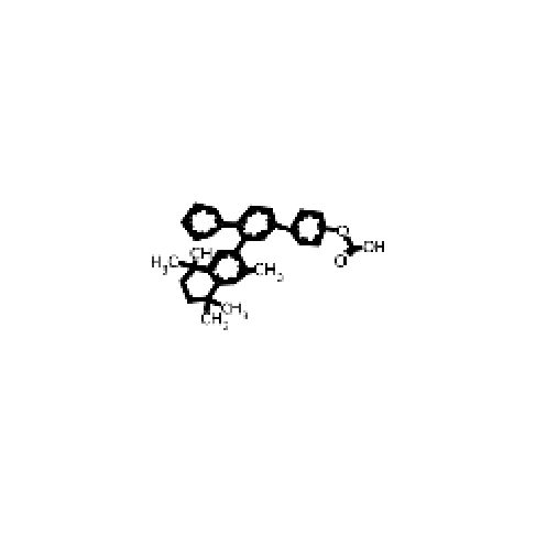 Cc1cc2c(cc1-c1cc(-c3ccc(OC(=O)O)cc3)ccc1-c1ccccc1)C(C)(C)CCC2(C)C